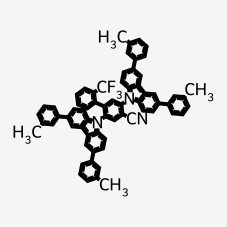 Cc1cccc(-c2ccc3c(c2)c2cc(-c4cccc(C)c4)ccc2n3-c2cc(-c3ccccc3C(F)(F)F)c(-n3c4ccc(-c5cccc(C)c5)cc4c4cc(-c5cccc(C)c5)ccc43)cc2C#N)c1